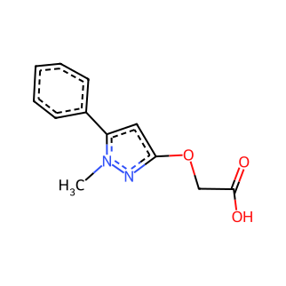 Cn1nc(OCC(=O)O)cc1-c1ccccc1